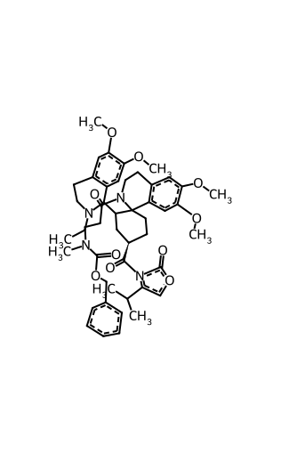 CCN1CCc2cc(OC)c(OC)cc2C1C1C[C@H](C(=O)n2c(C(C)C)coc2=O)CCC12c1cc(OC)c(OC)cc1CCN2C(=O)CCN(C)C(=O)OCc1ccccc1